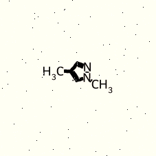 Cc1[c]n(C)nc1